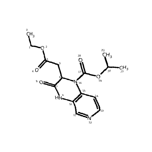 CCOC(=O)CC1C(=O)Nc2cnccc2N1C(=O)OC(C)C